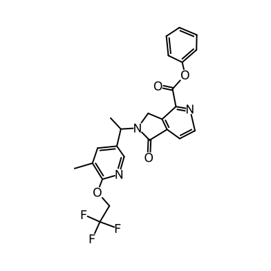 Cc1cc(C(C)N2Cc3c(ccnc3C(=O)Oc3ccccc3)C2=O)cnc1OCC(F)(F)F